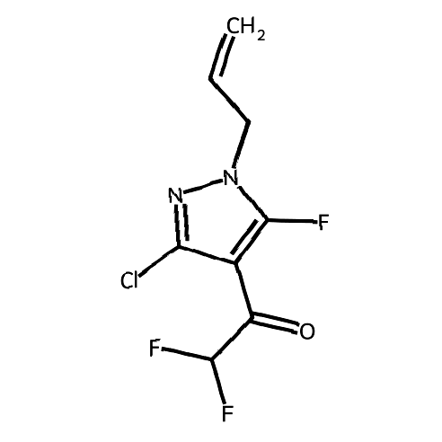 C=CCn1nc(Cl)c(C(=O)C(F)F)c1F